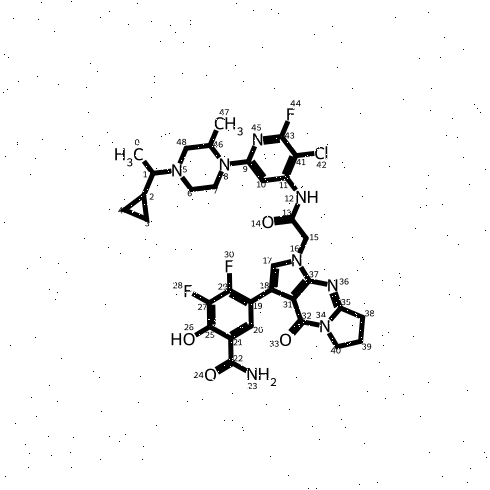 CC(C1CC1)N1CCN(c2cc(NC(=O)Cn3cc(-c4cc(C(N)=O)c(O)c(F)c4F)c4c(=O)n5c(nc43)CCC5)c(Cl)c(F)n2)C(C)C1